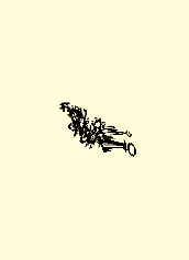 CC1CC(c2ccccc2)(c2cc(OCc3ccc4cc(F)ccc4n3)ccc2/C=C/N=O)C1